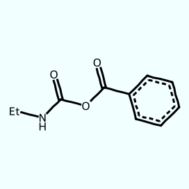 [CH2]CNC(=O)OC(=O)c1ccccc1